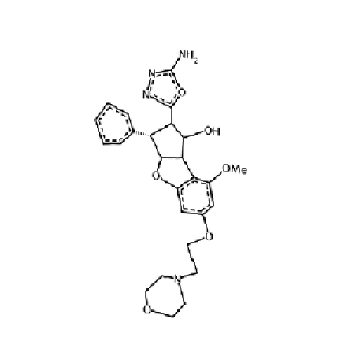 COc1cc(OCCN2CCOCC2)cc2c1C1C(O)C(c3nnc(N)o3)[C@@H](c3ccccc3)C1O2